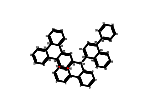 c1ccc(-c2ccccc2N(c2ccc3c4ccccc4c4ccccc4c3c2)c2ccc(-c3ccccc3)c3ccccc23)cc1